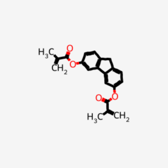 C=C(C)C(=O)Oc1ccc2c(c1)-c1cc(OC(=O)C(=C)C)ccc1C2